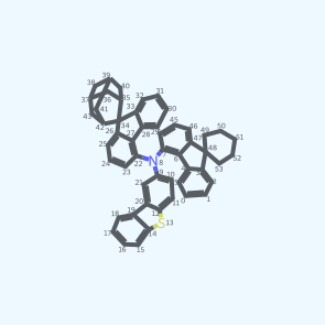 c1ccc2c(c1)-c1c(N(c3ccc4sc5ccccc5c4c3)c3cccc4c3-c3ccccc3C43C4CC5CC(C4)CC3C5)cccc1C21CCCCC1